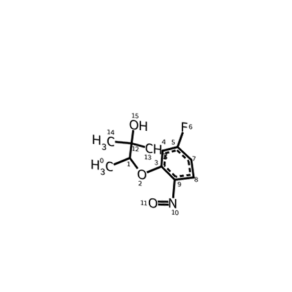 CC(Oc1cc(F)ccc1N=O)C(C)(C)O